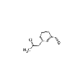 CC(=O)Cc1cccc([C]=O)c1